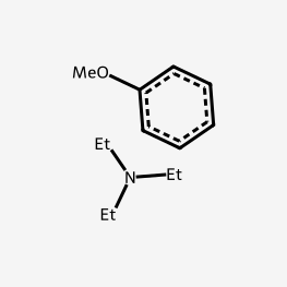 CCN(CC)CC.COc1ccccc1